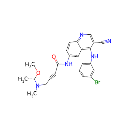 COC(C)N(C)CC#CC(=O)Nc1ccc2ncc(C#N)c(Nc3cccc(Br)c3)c2c1